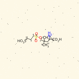 CC(C)(COS(=O)(=O)CCCS(=O)(=O)O)C[C@@H](N)C(=O)O